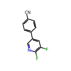 N#Cc1ccc(-c2cnc(F)c(F)c2)cc1